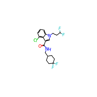 O=C(NCC1CCC(F)(F)CC1)c1cn(CCC(F)F)c2cccc(Cl)c12